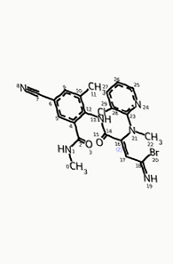 CNC(=O)c1cc(C#N)cc(C)c1NC(=O)/C(=C/C(=N)Br)N(C)c1ncccc1Cl